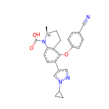 C[C@H]1CCc2c(ccc(-c3cnn(C4CC4)c3)c2Oc2ccc(C#N)cc2)N1C(=O)O